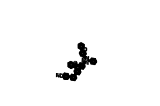 N#Cc1ccc(-c2cccc(-c3ccc4c5ccc(-c6nc(-c7ccccc7)nc(-c7ccc8c(c7)oc7ccccc78)n6)cc5c5oc6ccccc6c5c4c3)c2)cc1